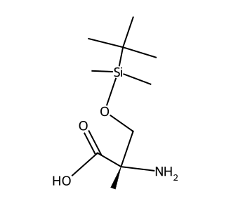 CC(C)(C)[Si](C)(C)OC[C@](C)(N)C(=O)O